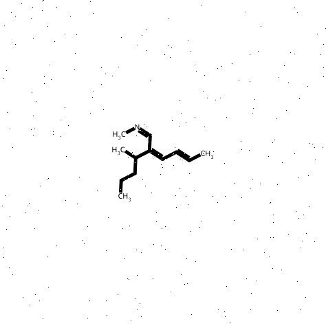 C/C=C/C=C(\C=N/C)C(C)CCC